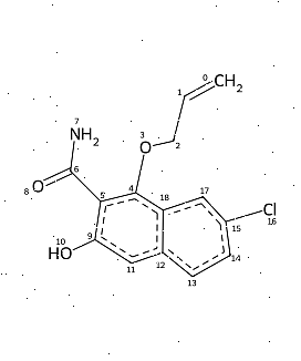 C=CCOc1c(C(N)=O)c(O)cc2ccc(Cl)cc12